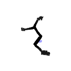 CCCC(/C=C/NC)CC